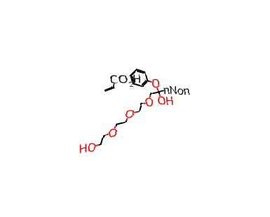 C=CC(=O)O.CCCCCCCCCC(O)(COCCOCCOCCO)Oc1ccccc1